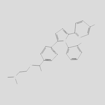 CN(C)CCNC(O)c1ccc(-c2ccc(-c3ccc(Cl)cn3)n2-c2ccccc2C(F)(F)F)cc1